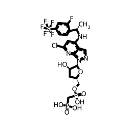 C[C@H](Nc1cc(Cl)nc2c1cnn2[C@@H]1O[C@H](COP(=O)(O)CP(=O)(O)O)C[C@H]1O)c1ccc(S(F)(F)(F)(F)F)cc1F